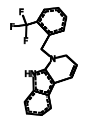 FC(F)(F)c1ccccc1CN1CC=Cc2c1[nH]c1ccccc21